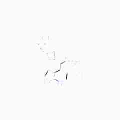 CCCS(=O)(=O)NC1CC(C2=NN(C)B(O)c3cnc4[nH]ccc4c32)C1